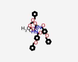 CC1(C)OC[C@H](OCc2ccccc2)O[C@H](CNC(=O)c2ccc(OCc3ccccc3)cc2)[C@H](CNC(=O)c2ccc(OCc3ccccc3)cc2)O1